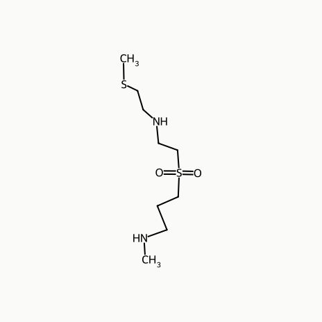 CNCCCS(=O)(=O)CCNCCSC